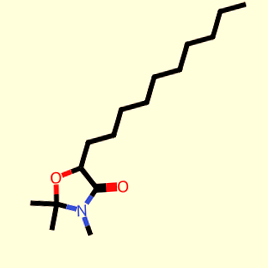 CCCCCCCCCCC1OC(C)(C)N(C)C1=O